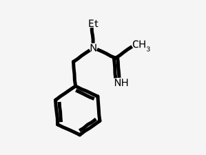 CCN(Cc1ccccc1)C(C)=N